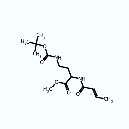 C/C=C/C(=O)NC(CCNC(=O)OC(C)(C)C)C(=O)OC